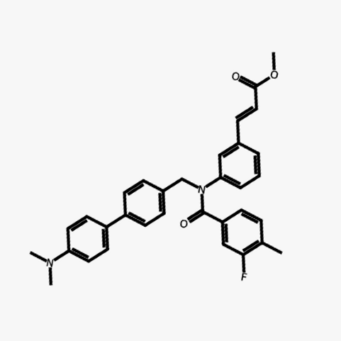 COC(=O)/C=C/c1cccc(N(Cc2ccc(-c3ccc(N(C)C)cc3)cc2)C(=O)c2ccc(C)c(F)c2)c1